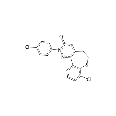 O=c1cc2c(nn1-c1ccc(Cl)cc1)-c1cccc(Cl)c1SCC2